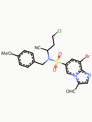 COc1ccc(CN(C(C#N)CCCl)S(=O)(=O)c2cc(Br)c3ncc(C=O)n3c2)cc1